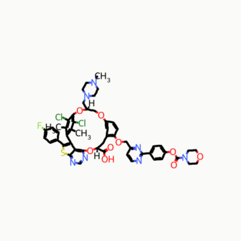 Cc1c(Cl)c2c(Cl)c(C)c1-c1c(-c3ccc(F)cc3)sc3ncnc(c13)O[C@@H](C(=O)O)Cc1cc(ccc1OCc1ccnc(-c3ccc(OC(=O)N4CCOCC4)cc3)n1)OC[C@@H](CN1CCN(C)CC1)O2